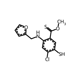 COC(=S)c1cc(S)c(Cl)cc1NCc1ccco1